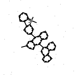 Cc1ccc2c(-c3cc4ccccc4c4ccccc34)c3ccccc3c(-c3ccc4c(c3)[Si](C)(C)c3ccccc3-4)c2c1